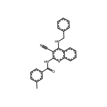 Cc1cccc(C(=O)Nc2nc3ccccc3c(NCc3ccccc3)c2C#N)c1